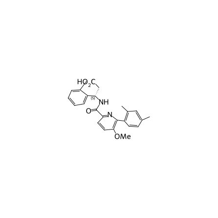 COc1ccc(C(=O)N[C@@H](CC(=O)O)c2ccccc2C)nc1-c1ccc(C)cc1C